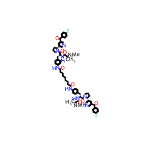 CN[C@@H](C)C(=O)N[C@@H](Cc1ccc(NC(=O)CCCCCCCC(=O)Nc2ccc(C[C@H](NC(=O)[C@H](C)NC)C(=O)N3CCC[C@H]3c3cncc(C(=O)c4ccc(F)cc4)c3)cc2)cc1)C(=O)N1CCC[C@H]1c1cncc(C(=O)c2ccc(F)cc2)c1